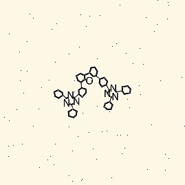 c1ccc(-c2nc(-c3ccccc3)nc(-c3ccc(-c4cccc5c4oc4c(-c6cccc(-c7nc(-c8ccccc8)nc(-c8ccccc8)n7)c6)cccc45)cc3)n2)cc1